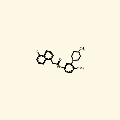 COc1ccc(NC(=O)Cc2cccc3c(Br)cccc23)cc1N1CCN(C)CC1